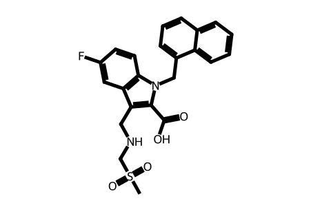 CS(=O)(=O)CNCc1c(C(=O)O)n(Cc2cccc3ccccc23)c2ccc(F)cc12